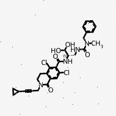 CN(Cc1ccccc1)C(=O)NC[C@H](NC(=O)c1c(Cl)cc2c(c1Cl)CCN(CC#CC1CC1)C2=O)C(O)O